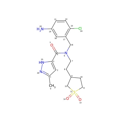 Cc1cc(C(=O)N(CCC2CCS(=O)(=O)C2)Cc2cc(N)ccc2Cl)[nH]n1